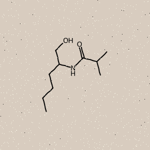 CCCCC(CO)NC(=O)C(C)C